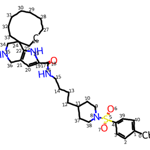 Cc1ccc(S(=O)(=O)N2CCC(CCCCNC(=O)c3cc4c([nH]3)C3(CCCCCCCCC3)CNC4)CC2)cc1